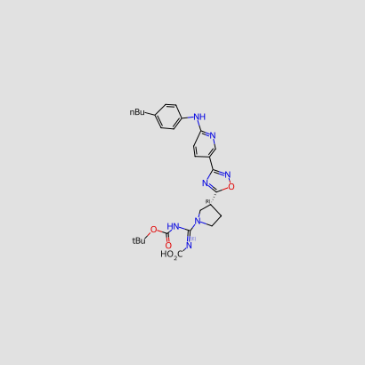 CCCCc1ccc(Nc2ccc(-c3noc([C@@H]4CCN(/C(=N/C(=O)O)NC(=O)OC(C)(C)C)C4)n3)cn2)cc1